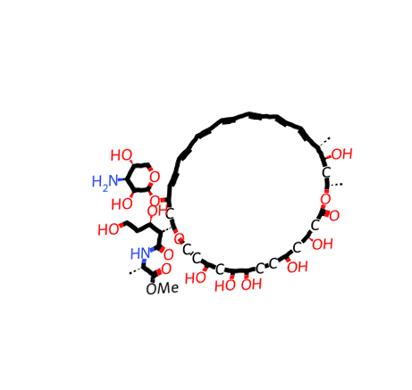 COC(=O)[C@H](C)NC(=O)C([C@@H]1CC(O[C@@H]2OC[C@@H](O)[C@H](N)[C@@H]2O)/C=C/C=C/C=C/C=C/C=C/C=C/C=C/[C@H](C)[C@@H](O)C[C@H](C)OC(=O)C[C@H](O)CC(O)CCC(O)C(O)CC(O)CCO1)[C@@H](O)CCO